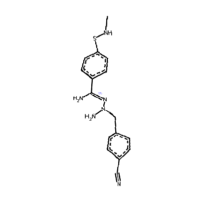 CNSc1ccc(/C(N)=N/N(N)Cc2ccc(C#N)cc2)cc1